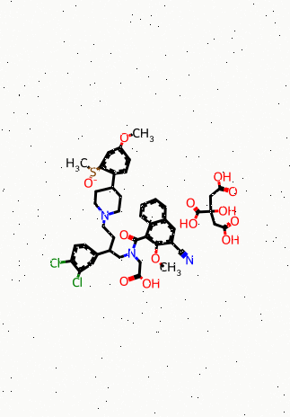 COc1ccc(C2CCN(CCC(CN(CC(=O)O)C(=O)c3c(OC)c(C#N)cc4ccccc34)c3ccc(Cl)c(Cl)c3)CC2)c([S+](C)[O-])c1.O=C(O)CC(O)(CC(=O)O)C(=O)O